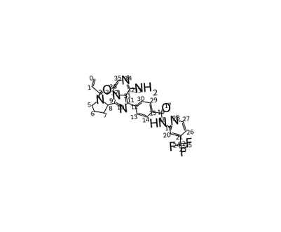 C=CC(=O)N1CCCC1c1nc(-c2ccc(C(=O)Nc3cc(C(F)(F)F)ccn3)cc2)c2c(N)nccn12